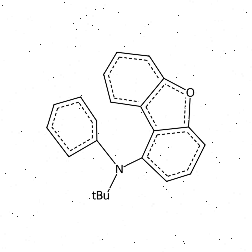 CC(C)(C)N(c1ccccc1)c1cccc2oc3ccccc3c12